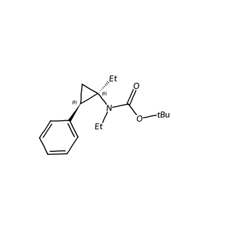 CCN(C(=O)OC(C)(C)C)[C@]1(CC)C[C@@H]1c1ccccc1